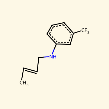 C/C=C/CNc1cccc(C(F)(F)F)c1